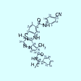 Cc1ccc(C(=O)Nc2ccc(C#N)cc2)cc1Nc1ncnn2cc(C(=O)N[C@@H](C)c3ccccc3)c(C)c12